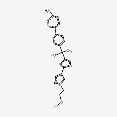 CCOCCn1cc(-c2nc(C(C)(C)c3ccc(-c4cnc(N)nc4)nc3)no2)cn1